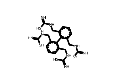 N=C(S)NCc1cccc(CNC(=N)S)c1-c1c(CNC(=N)S)cccc1CNC(=N)S